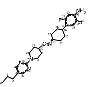 CCCc1cnc(N2CCC(ON=C3CCC(c4cc(F)c(N)cc4F)CC3)CC2)nc1